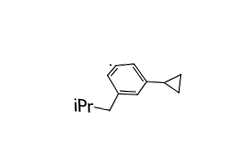 CC(C)Cc1c[c]cc(C2CC2)c1